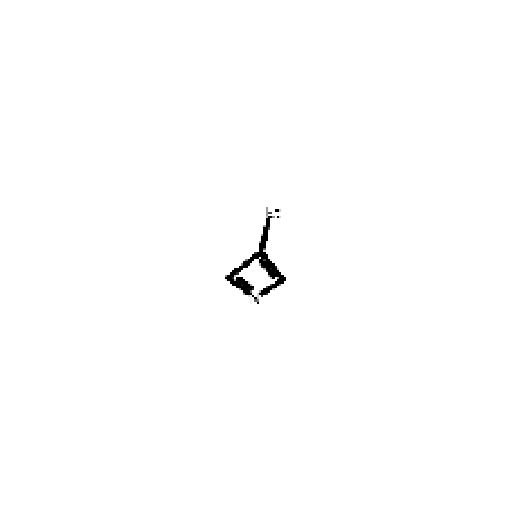 CCC1=CN=C1